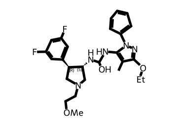 CCOc1nn(-c2ccccc2)c(NC(O)N[C@@H]2CN(CCOC)C[C@H]2c2cc(F)cc(F)c2)c1C